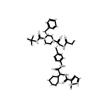 CCC(=O)N[C@H](Cc1ccc(NC(=O)C(NC(=O)c2ccnn2C)C2CCCCC2)cc1)C(=O)N1CCN(C(=O)OC(C)(C)C)[C@@H](Cc2ccccc2)C1